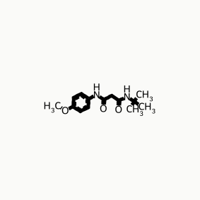 COc1ccc(NC(=O)CC(=O)NC(C)(C)C)cc1